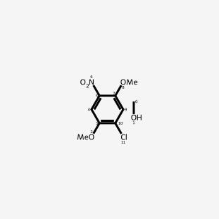 CO.COc1cc([N+](=O)[O-])c(OC)cc1Cl